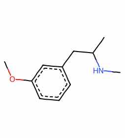 CNC(C)Cc1cccc(OC)c1